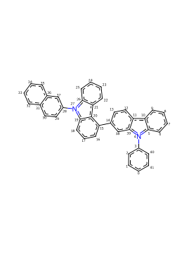 c1ccc(-n2c3ccccc3c3ccc(-c4cccc5c4c4ccccc4n5-c4ccc5ccccc5c4)cc32)cc1